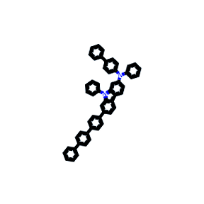 c1ccc(-c2ccc(-c3ccc(-c4ccc5c6ccc(N(c7ccccc7)c7ccc(-c8ccccc8)cc7)cc6n(-c6ccccc6)c5c4)cc3)cc2)cc1